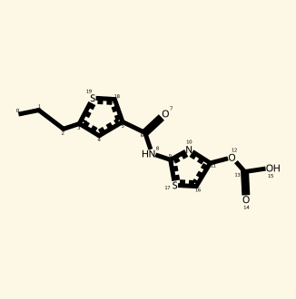 CCCc1cc(C(=O)Nc2nc(OC(=O)O)cs2)cs1